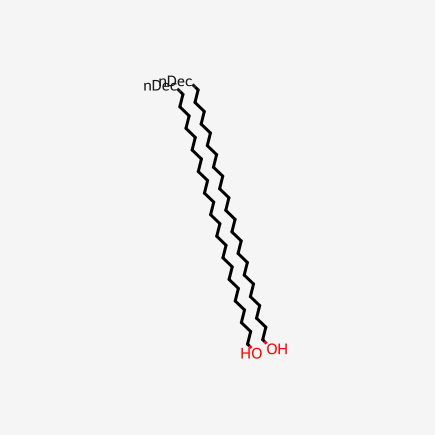 CCCCCCCCCCCCCCCCCCCCCCCCCCCCCCCCCCO.CCCCCCCCCCCCCCCCCCCCCCCCCCCCCCCCCCO